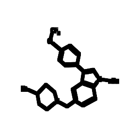 CCCCn1cc(-c2ccc(OC(F)(F)F)cc2)c2cc(CN3CCC(CC)CC3)ccc21